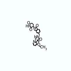 CCOc1cccnc1C(F)(F)C(=O)NCc1ccc2c(c1)CN([C@@H]1CCC(=O)NC1=O)C2=O